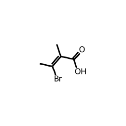 C/C(Br)=C(\C)C(=O)O